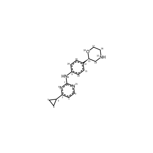 c1cc(C2CC2)nc(Nc2ccc([C@@H]3CNCCO3)cc2)n1